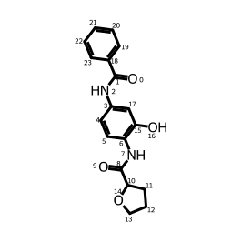 O=C(Nc1ccc(NC(=O)C2CCCO2)c(O)c1)c1ccccc1